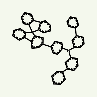 c1ccc(-c2cccc(N(c3ccc(-c4ccc5c(c4)C4(c6ccccc6-c6ccccc64)c4ccccc4-5)cc3)c3cccc(-c4ccccc4)c3)c2)cc1